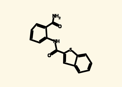 NC(=O)c1ccccc1NC(=O)c1cc2ccccc2s1